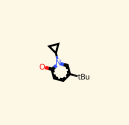 CC(C)(C)c1ccc(=O)n(C2CC2)c1